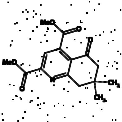 COC(=O)c1cc(C(=O)OC)c2c(n1)CC(C)(C)CC2=O